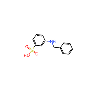 O=S(=O)(O)c1cccc(NCc2ccccc2)c1